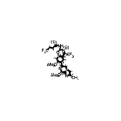 CCN(C(=O)N[C@@H](CCC(F)(F)F)C(F)(F)F)[C@@H](c1cc(-c2cn3cc(C)nc3c(OC)n2)c(OC)cn1)C(F)(F)F